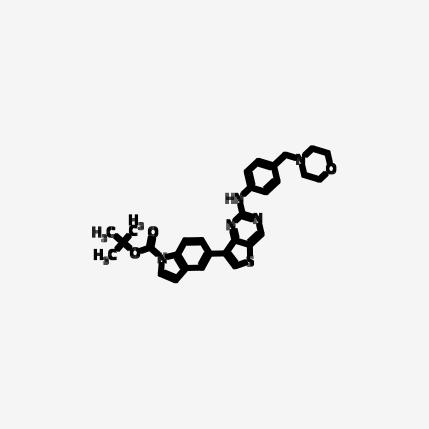 CC(C)(C)OC(=O)n1ccc2cc(-c3csc4cnc(Nc5ccc(CN6CCOCC6)cc5)nc34)ccc21